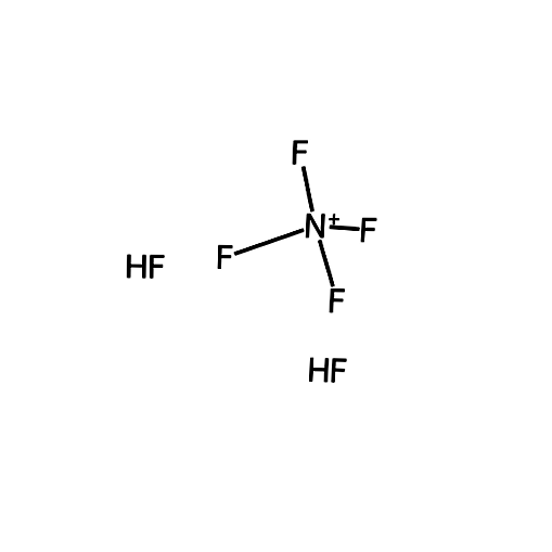 F.F.F[N+](F)(F)F